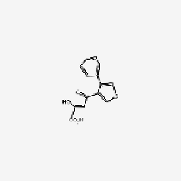 O=C(O)C(O)=CC(=O)c1cscc1-c1ccccc1